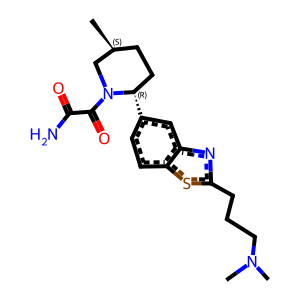 C[C@H]1CC[C@H](c2ccc3sc(CCCN(C)C)nc3c2)N(C(=O)C(N)=O)C1